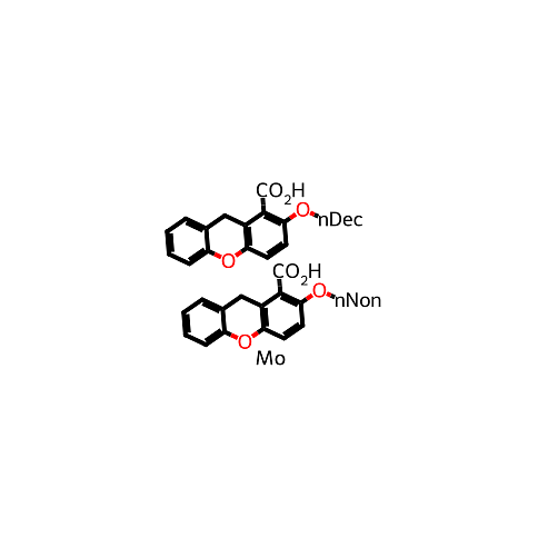 CCCCCCCCCCOc1ccc2c(c1C(=O)O)Cc1ccccc1O2.CCCCCCCCCOc1ccc2c(c1C(=O)O)Cc1ccccc1O2.[Mo]